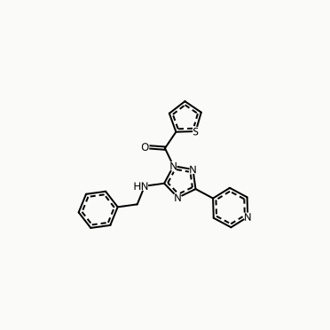 O=C(c1cccs1)n1nc(-c2ccncc2)nc1NCc1ccccc1